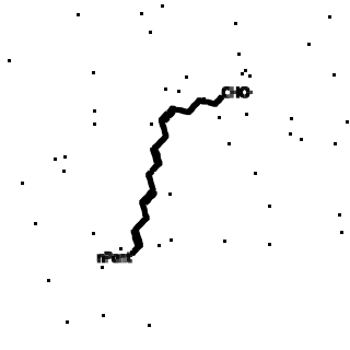 CCCCCC=CCC=CCC=CC/C=C\CCC[C]=O